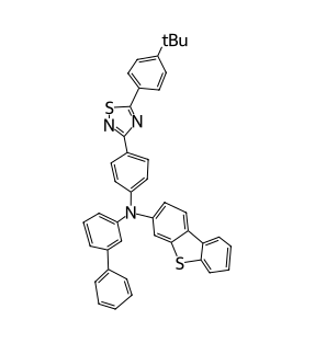 CC(C)(C)c1ccc(-c2nc(-c3ccc(N(c4cccc(-c5ccccc5)c4)c4ccc5c(c4)sc4ccccc45)cc3)ns2)cc1